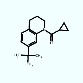 CC(C)(C)c1ccc2c(c1)N(C(=O)C1CC1)CCC2